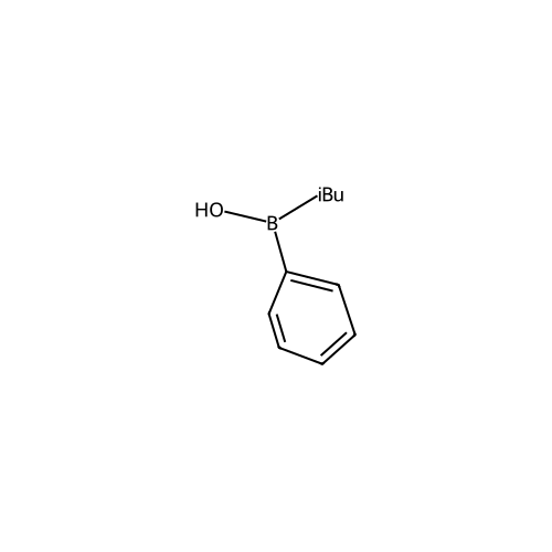 CCC(C)B(O)c1ccccc1